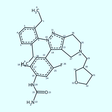 CCc1cccc(CC)c1-n1nc2c(c1-c1cc(F)c(NC(N)=O)cc1F)CN(CC1CCOC1)CC2